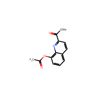 COC(=O)c1ccc2cccc(OC(=O)C(F)(F)F)c2n1